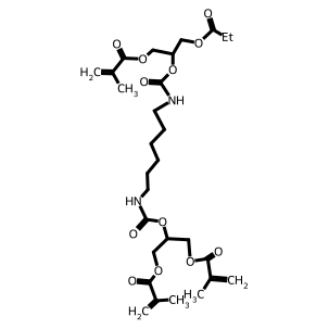 C=C(C)C(=O)OCC(COC(=O)CC)OC(=O)NCCCCCCNC(=O)OC(COC(=O)C(=C)C)COC(=O)C(=C)C